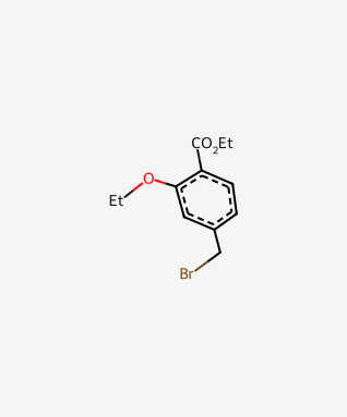 CCOC(=O)c1ccc(CBr)cc1OCC